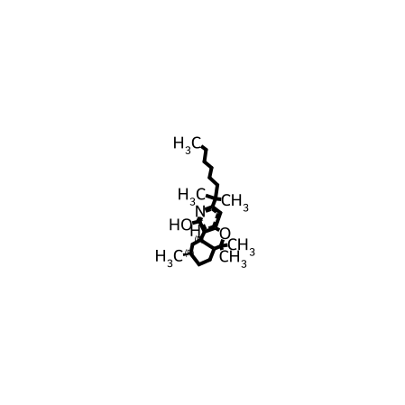 CCCCCCC(C)(C)c1cc2c(c(O)n1)[C@@H]1C[C@H](C)CCC1C(C)(C)O2